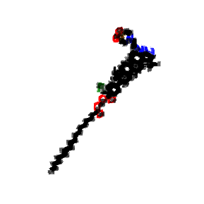 C=C(C)[C@@H]1CC[C@]2(NCCN3CCS(=O)(=O)CC3)CC[C@]3(C)[C@H](CC[C@@H]4[C@@]5(C)CC=C(C6=CC[C@@](CF)(C(=O)OCOC(=O)CCCCCCCCCCCCCCCCC)CC6)C(C)(C)[C@@H]5CC[C@]43C)[C@@H]12